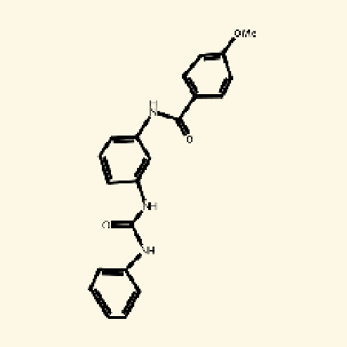 COc1ccc(C(=O)Nc2cccc(NC(=O)Nc3ccccc3)c2)cc1